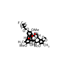 COc1cc2c(cc1OC(=O)C(F)(F)C(F)(F)C(F)(F)F)CCN[C@]21CS[C@@H]2c3c(OC(C)=O)c(C)c4c(c3[C@H](COC1=O)N1C2[C@H]2c3c(cc(C)c(OC)c3O)C[C@@H]([C@@H]1C#N)N2C)OCO4